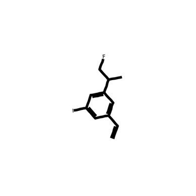 C=Cc1cc(I)cc([C](C)CF)c1